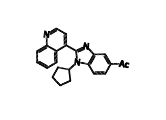 CC(=O)c1ccc2c(c1)nc(-c1ccnc3ccccc13)n2C1CCCC1